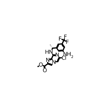 COC(=O)c1cn2cc(Cl)nc(N[C@H](C)c3cc(N)cc(C(F)(F)F)c3)c2n1